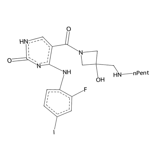 CCCCCNCC1(O)CN(C(=O)c2c[nH]c(=O)nc2Nc2ccc(I)cc2F)C1